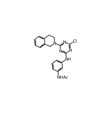 CC(=O)Nc1cccc(Nc2nc(Cl)nc(N3CCc4ccccc4C3)n2)c1